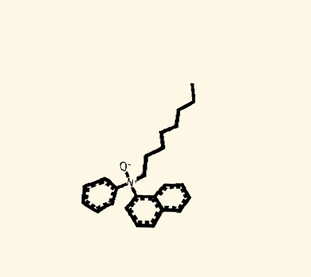 CCCCCCCC[N+]([O-])(c1ccccc1)c1cccc2ccccc12